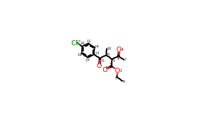 CCOC(=O)C(C(C)=O)C(C)C(=O)c1ccc(Cl)cc1